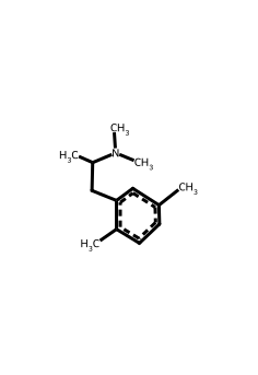 Cc1ccc(C)c(CC(C)N(C)C)c1